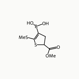 COC(=O)C1CC(B(O)O)=C(SC)S1